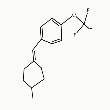 CC1CCC(=Cc2ccc(OC(F)(F)F)cc2)CC1